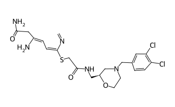 C=N/C(=C\C=C(/N)CC(N)=O)SCC(=O)NC[C@H]1CN(Cc2ccc(Cl)c(Cl)c2)CCO1